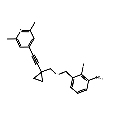 Cc1cc(C#CC2(COCc3cccc([N+](=O)[O-])c3I)CC2)cc(C)n1